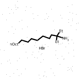 Br.CCCCCCCCCCCCCCCC(N)(CC)CC